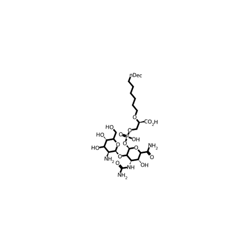 CCCCCCCCCCCCCCCCO[C@H](COP(=O)(O)O[C@H]1OC(C(N)=O)[C@H](O)[C@H](NC(N)=O)C1O[C@@H]1OC(CO)[C@@H](O)C(O)[C@@H]1N)C(=O)O